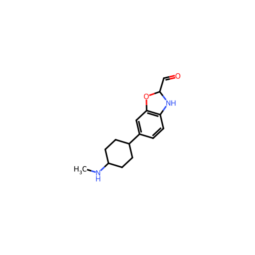 CNC1CCC(c2ccc3c(c2)OC(C=O)N3)CC1